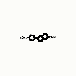 CCCCCCCCC1CC=C(c2ccc3cc(OC(C)=O)ccc3c2)CC1